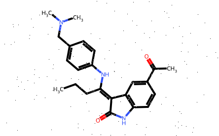 CCCC(Nc1ccc(CN(C)C)cc1)=C1C(=O)Nc2ccc(C(C)=O)cc21